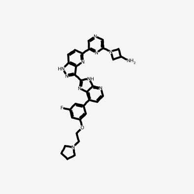 NC1CN(c2cncc(-c3ccc4[nH]nc(-c5nc6c(-c7cc(F)cc(OCCN8CCCC8)c7)ccnc6[nH]5)c4n3)n2)C1